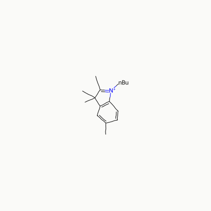 CCCC[N+]1=C(C)C(C)(C)c2cc(C)ccc21